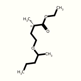 CCCC(C)OCC[C@H](C)C(=O)OCC